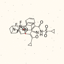 O=C(NS(=O)(=O)C1CC1)c1ccc2nc(N3C4CC(NCc5c(-c6ccccc6OC(F)(F)F)noc5C5CC5)CC3C4)ccc2c1